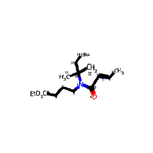 C/C=C/C(=O)N(CCCC(=O)OCC)C(C)(C)CC(C)(C)C